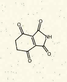 O=C1CCC(=O)C2=C1C(=O)NC2=O